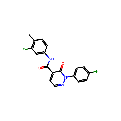 Cc1ccc(NC(=O)c2ccnn(-c3ccc(F)cc3)c2=O)cc1F